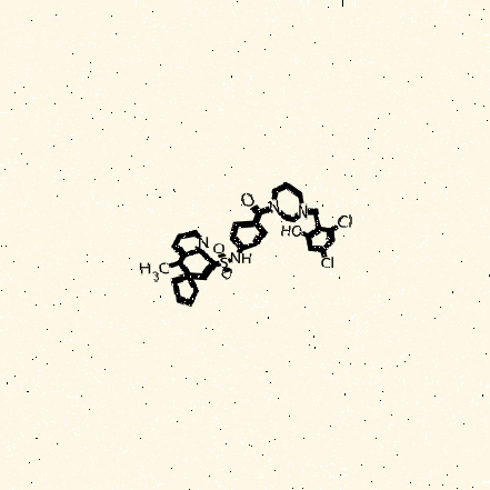 CC1c2cccnc2C(S(=O)(=O)Nc2ccc(C(=O)N3CCCN(Cc4c(O)cc(Cl)cc4Cl)CC3)cc2)=CC12CCCC2